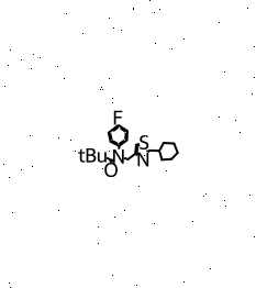 CC(C)(C)C(=O)N(Cc1csc(C2CCCCC2)n1)c1ccc(F)cc1